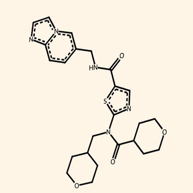 O=C(NCc1ccc2nccn2c1)c1cnc(N(CC2CCOCC2)C(=O)C2CCOCC2)s1